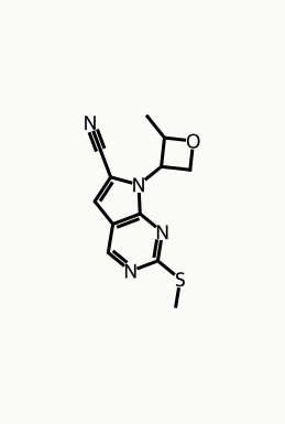 CSc1ncc2cc(C#N)n(C3COC3C)c2n1